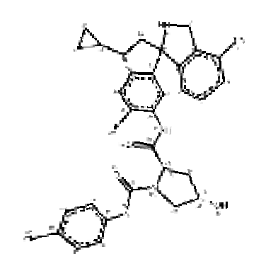 N#Cc1cccc2c1CNC2(CCC1CC1)c1ccc(F)c(NC(=O)[C@H]2C[C@H](O)CN2C(=O)Nc2ccc(Cl)cc2)c1